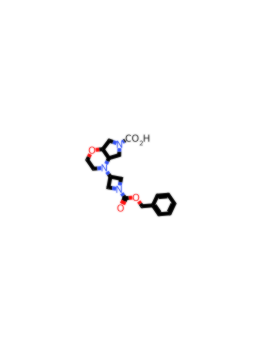 O=C(O)N1CC2OCCN(C3CN(C(=O)OCc4ccccc4)C3)C2C1